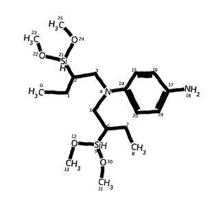 CCC(CN(CC(CC)[SiH](OC)OC)c1ccc(N)cc1)[SiH](OC)OC